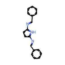 C(=N\c1ccc(/N=C/c2ccccc2)[nH]1)/c1ccccc1